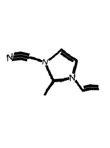 C=CN1C=CN(C#N)C1C